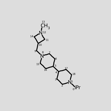 CC(C)N1CCC(C2CCN(CC3CN(C)C3)CC2)CC1